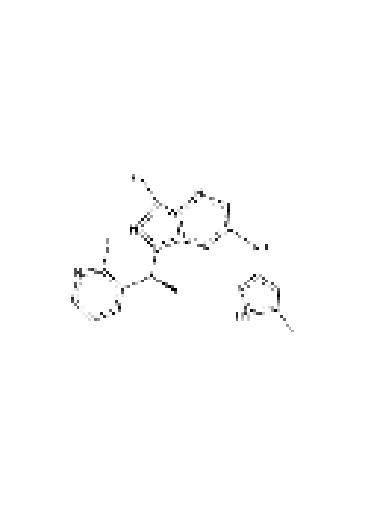 Cc1cc(Nc2cnc3c(Cl)nn([C@@H](C)c4cccnc4F)c3n2)n[nH]1